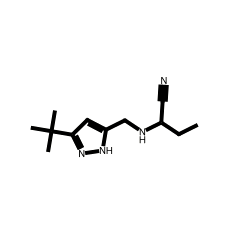 CCC(C#N)NCc1cc(C(C)(C)C)n[nH]1